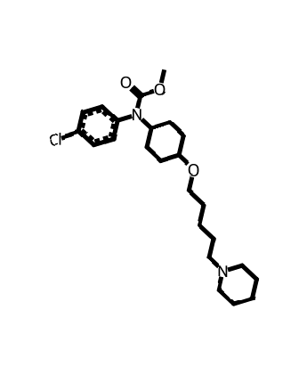 COC(=O)N(c1ccc(Cl)cc1)C1CCC(OCCCCCN2CCCCC2)CC1